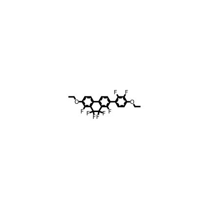 CCOc1ccc(-c2ccc3c(c2F)C(F)(F)C(F)(F)c2c-3ccc(OCC)c2F)c(F)c1F